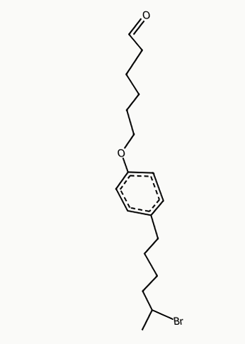 CC(Br)CCCCc1ccc(OCCCCCC=O)cc1